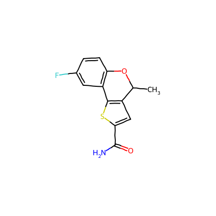 CC1Oc2ccc(F)cc2-c2sc(C(N)=O)cc21